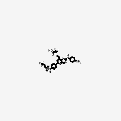 CCc1cc(-c2ccc(NS(=O)(=O)CCC(F)(F)F)c(F)c2)nc2cnc(NC3CCC(N)CC3)nc12.O=C(O)C(F)(F)F